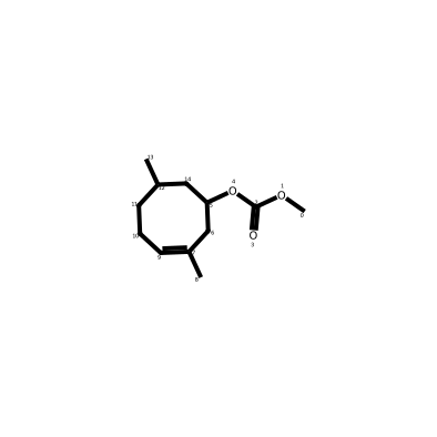 COC(=O)OC1C/C(C)=C\CCC(C)C1